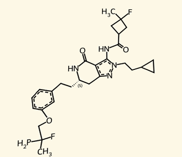 CC(F)(P)COc1cccc(CC[C@H]2Cc3nn(CCC4CC4)c(NC(=O)C4CC(C)(F)C4)c3C(=O)N2)c1